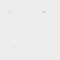 O=S(=O)(Cl)c1c(Br)cccc1Br